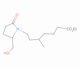 CCOC(=O)CCCC(C)CCN1C(=O)CCC1CO